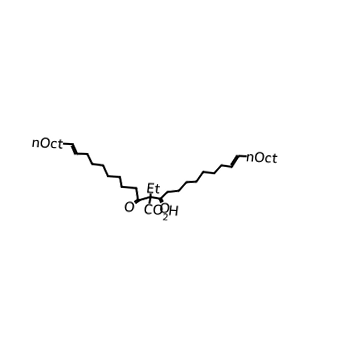 CCCCCCCCC=CCCCCCCCC(=O)C(CC)(C(=O)O)C(=O)CCCCCCCC=CCCCCCCCC